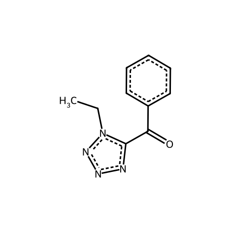 CCn1nnnc1C(=O)c1ccccc1